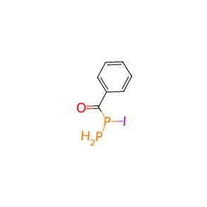 O=C(c1ccccc1)P(P)I